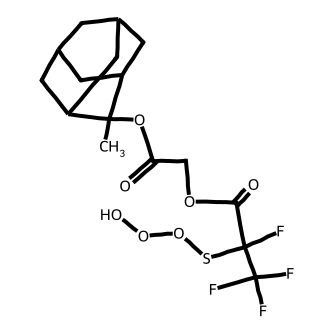 CC1(OC(=O)COC(=O)C(F)(SOOO)C(F)(F)F)C2CC3CC(C2)CC1C3